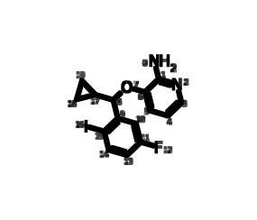 Nc1ncccc1OC(c1cc(F)ccc1I)C1CC1